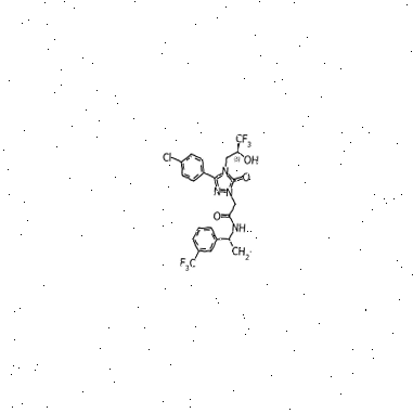 [CH2]C(NC(=O)Cn1nc(-c2ccc(Cl)cc2)n(C[C@H](O)C(F)(F)F)c1=O)c1cccc(C(F)(F)F)c1